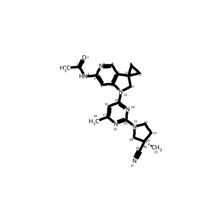 CC(=O)Nc1cc2c(cn1)C1(CC1)CN2c1cc(C)nc(N2CC[C@@](C)(C#N)C2)n1